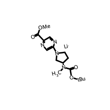 COC(=O)c1cnc(N2CC[C@@H](N(C)C(=O)OC(C)(C)C)C2)cn1.[Li]